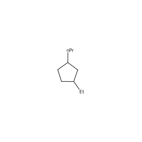 CCCC1CCC(CC)C1